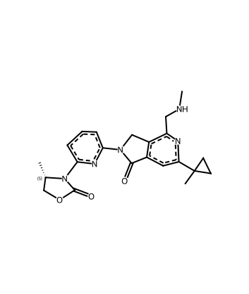 CNCc1nc(C2(C)CC2)cc2c1CN(c1cccc(N3C(=O)OC[C@@H]3C)n1)C2=O